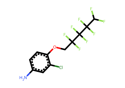 Nc1ccc(OCC(F)(F)C(F)(F)C(F)(F)C(F)F)c(Cl)c1